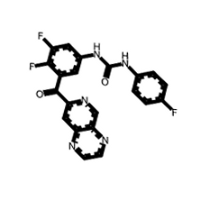 O=C(Nc1ccc(F)cc1)Nc1cc(F)c(F)c(C(=O)c2cc3nccnc3cn2)c1